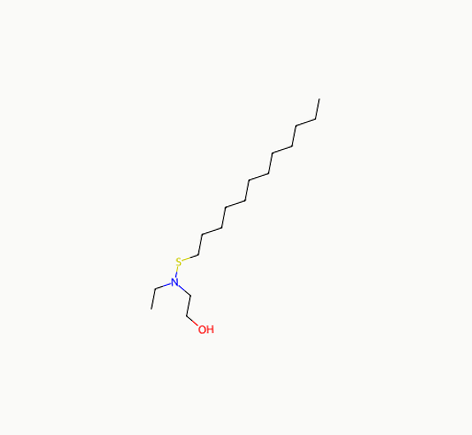 CCCCCCCCCCCCSN(CC)CCO